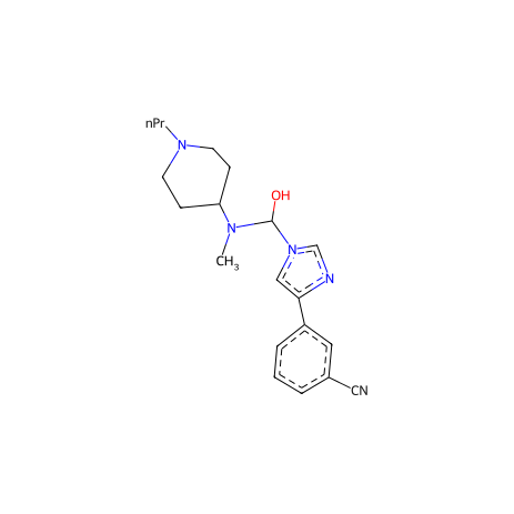 CCCN1CCC(N(C)C(O)n2cnc(-c3cccc(C#N)c3)c2)CC1